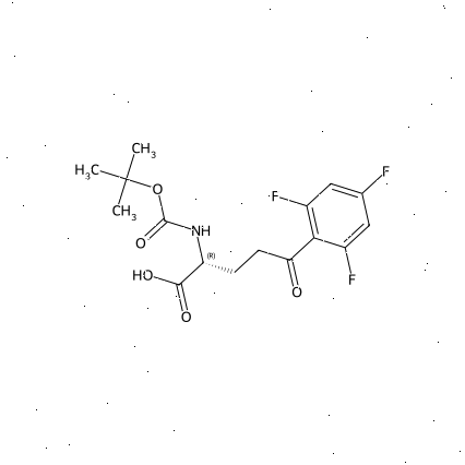 CC(C)(C)OC(=O)N[C@H](CCC(=O)c1c(F)cc(F)cc1F)C(=O)O